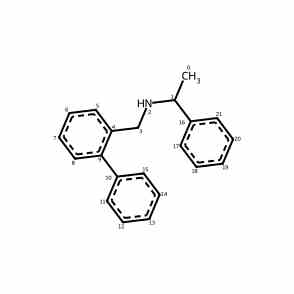 CC(NCc1ccccc1-c1ccccc1)c1ccccc1